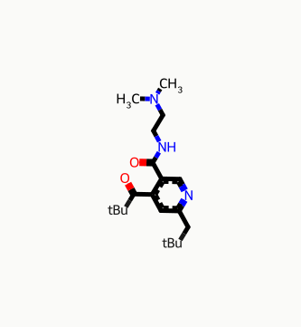 CN(C)CCNC(=O)c1cnc(CC(C)(C)C)cc1C(=O)C(C)(C)C